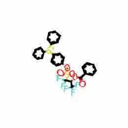 O=C(OC(C(F)(F)F)C(F)(F)S(=O)(=O)Oc1ccc([S+](c2ccccc2)c2ccccc2)cc1)c1ccccc1